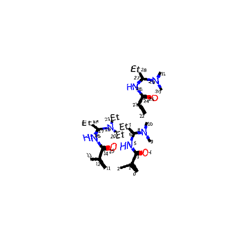 C=C(C)C(=O)NC(CC)N(C)C.C=C(C)C(=O)NC(CC)N(CC)CC.C=CC(=O)NC(CC)N(C)C